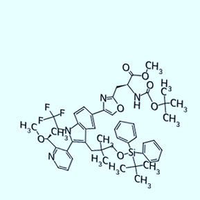 COC(=O)[C@H](Cc1nc(-c2ccc3c(c2)c(CC(C)(C)CO[Si](c2ccccc2)(c2ccccc2)C(C)(C)C)c(-c2cccnc2[C@H](C)OC)n3CC(F)(F)F)co1)NC(=O)OC(C)(C)C